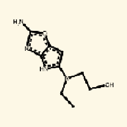 CCN(CCO)c1cc2oc(N)nc2[nH]1